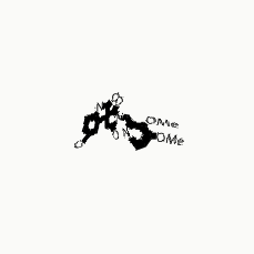 COc1ccnc(CN2C(=O)CC3(C(=O)[N]c4ccc(Cl)cc43)C2=O)c1OC